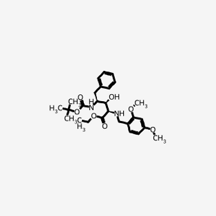 CCOC(=O)[C@H](NCc1ccc(OC)cc1OC)[C@H](O)[C@H](Cc1ccccc1)NC(=O)OC(C)(C)C